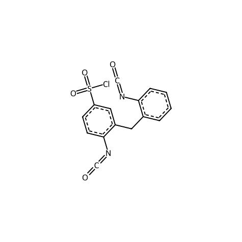 O=C=Nc1ccccc1Cc1cc(S(=O)(=O)Cl)ccc1N=C=O